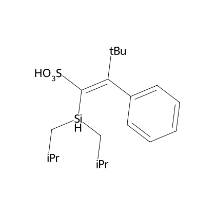 CC(C)C[SiH](CC(C)C)C(=C(c1ccccc1)C(C)(C)C)S(=O)(=O)O